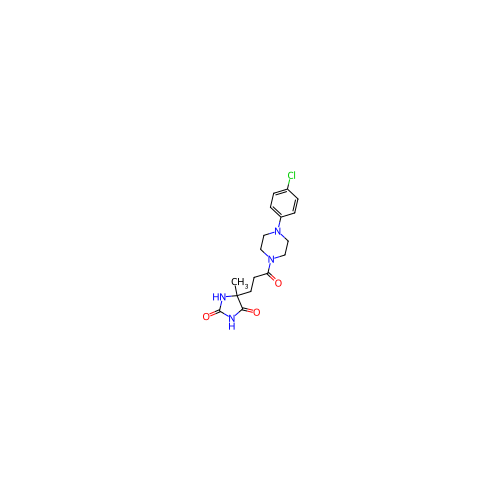 CC1(CCC(=O)N2CCN(c3ccc(Cl)cc3)CC2)NC(=O)NC1=O